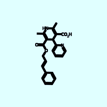 CC1=C(C(=O)O)C(c2ccccn2)C(C(=O)OCC=Cc2ccccc2)=C(C)N1